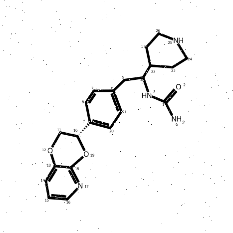 NC(=O)NC(Cc1ccc([C@H]2COc3cccnc3O2)cc1)C1CCNCC1